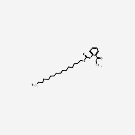 CCCCCCCCCCCCCCCCOC(=O)Oc1ccccc1C(=O)OC